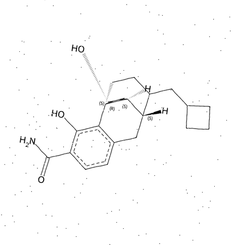 NC(=O)c1ccc2c(c1O)[C@]13CCC(CC4CCC4)[C@H](C2)[C@@H]1CC[C@@H](O)C3